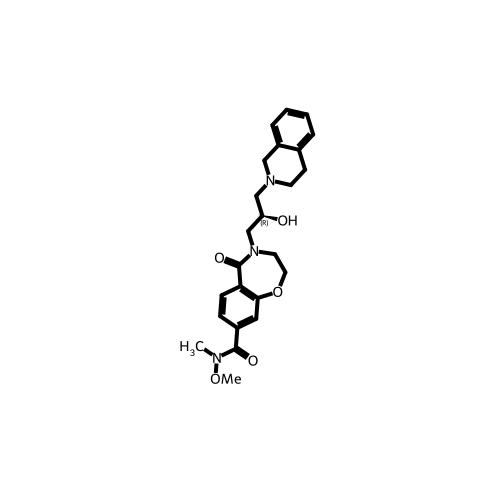 CON(C)C(=O)c1ccc2c(c1)OCCN(C[C@H](O)CN1CCc3ccccc3C1)C2=O